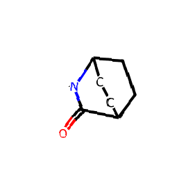 O=C1[N]C2CCC1CC2